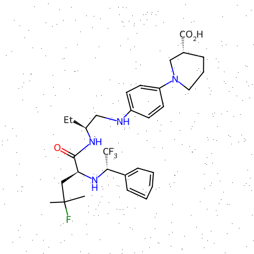 CC[C@@H](CNc1ccc(N2CCC[C@@H](C(=O)O)C2)cc1)NC(=O)[C@H](CC(C)(C)F)N[C@@H](c1ccccc1)C(F)(F)F